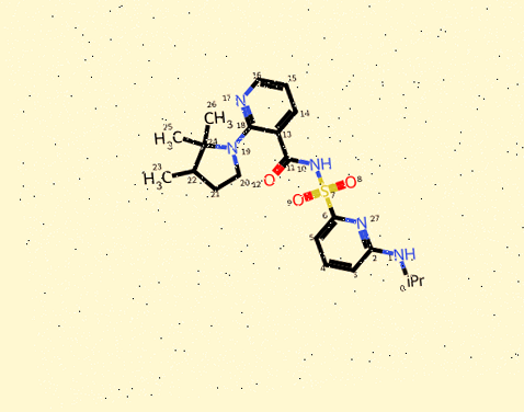 CC(C)Nc1cccc(S(=O)(=O)NC(=O)c2cccnc2N2CCC(C)C2(C)C)n1